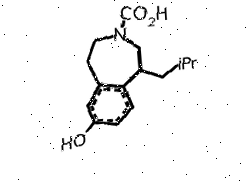 CC(C)CC1CN(C(=O)O)CCc2cc(O)ccc21